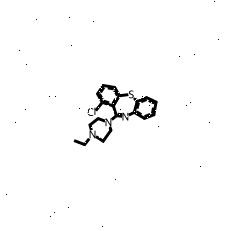 CCN1CCN(C2=Nc3ccccc3Sc3cccc(Cl)c32)CC1